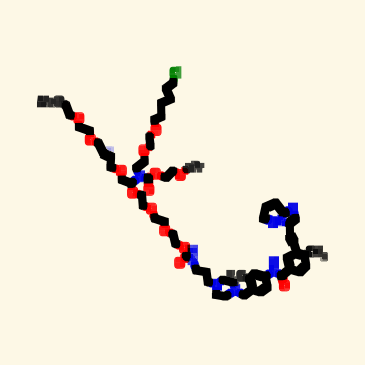 CCCOCCOC(=O)N(CCOCCOCCCCCCCl)C(COC/C=C/COCCOCCOC)OCCOCCOCCOC(=O)NCCCN1CCN(Cc2ccc(NC(=O)c3ccc(C)c(C#Cc4cnc5cccnn45)c3)cc2C(F)(F)F)CC1